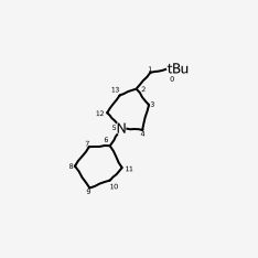 CC(C)(C)CC1CCN(C2CCCCC2)CC1